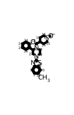 Cc1ccc2nc(N3CCN(C(=O)C4CC[S+]([O-])CC4)C(c4ccccc4)C3)sc2c1